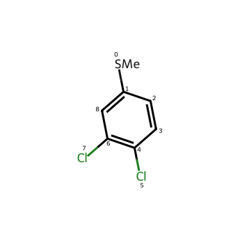 CSc1ccc(Cl)c(Cl)c1